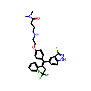 CN(C)C(=O)CCCNCCOc1ccc(/C(=C(/CC(F)(F)F)c2ccccc2)c2ccc3[nH]nc(F)c3c2)cc1